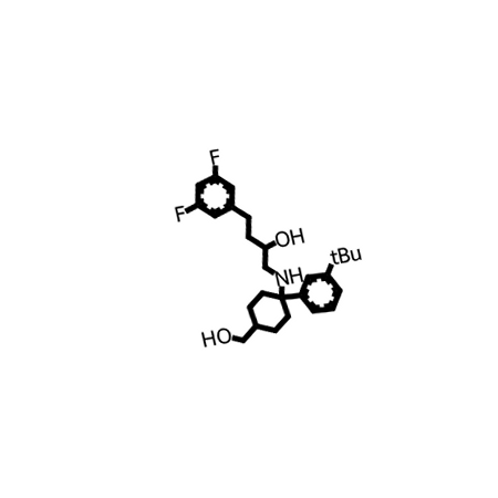 CC(C)(C)c1cccc(C2(NCC(O)CCc3cc(F)cc(F)c3)CCC(CO)CC2)c1